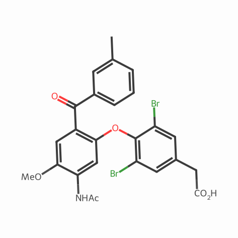 COc1cc(C(=O)c2cccc(C)c2)c(Oc2c(Br)cc(CC(=O)O)cc2Br)cc1NC(C)=O